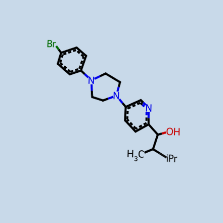 CC(C)C(C)C(O)c1ccc(N2CCN(c3ccc(Br)cc3)CC2)cn1